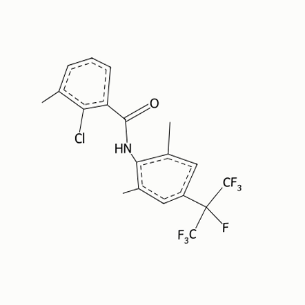 Cc1cccc(C(=O)Nc2c(C)cc(C(F)(C(F)(F)F)C(F)(F)F)cc2C)c1Cl